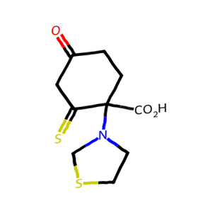 O=C1CCC(C(=O)O)(N2CCSC2)C(=S)C1